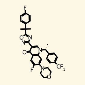 C[C@H](c1ccc(C(F)(F)F)cc1)n1cc(-c2noc(C(C)(C)c3ccc(F)cc3)n2)c(=O)c2cc(F)c(N3CCOCC3)cc21